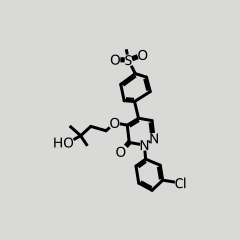 CC(C)(O)CCOc1c(-c2ccc(S(C)(=O)=O)cc2)cnn(-c2cccc(Cl)c2)c1=O